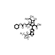 C[C@@H](O)[C@H]1C(=O)N2C(C(=O)O)=C(c3cn4cnc(S(=O)(=O)N(C)C)c4s3)C(C)(CCOC(=O)OC3CCCCC3)[C@@H]12